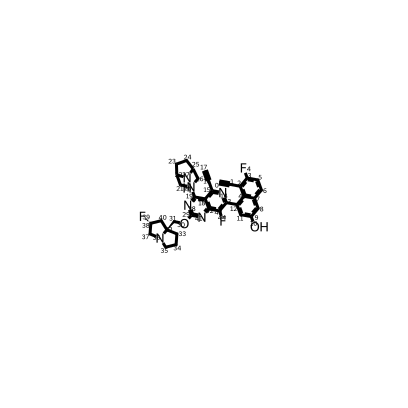 C#Cc1c(F)ccc2cc(O)cc(-c3nc(C#C)c4c(N5CC6CCC(C5)N6)nc(OC[C@@]56CCCN5C[C@H](F)C6)nc4c3F)c12